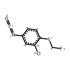 O=C=Nc1ccc(SCF)c(Cl)c1